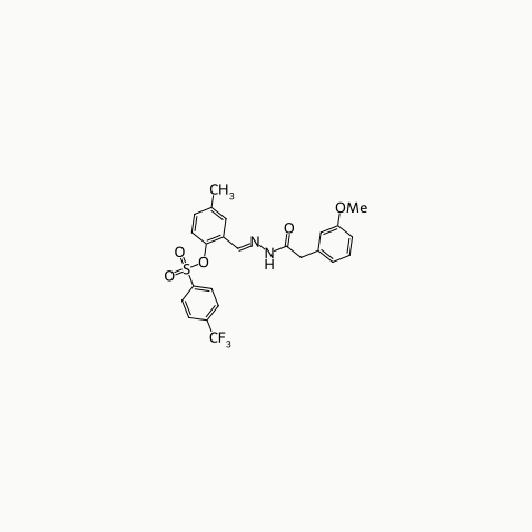 COc1cccc(CC(=O)NN=Cc2cc(C)ccc2OS(=O)(=O)c2ccc(C(F)(F)F)cc2)c1